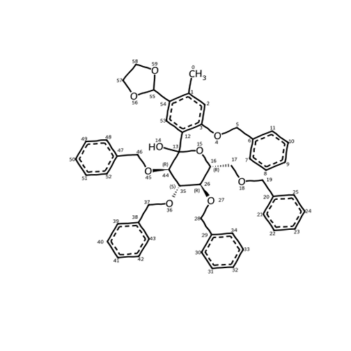 Cc1cc(OCc2ccccc2)c(C2(O)O[C@H](COCc3ccccc3)[C@@H](OCc3ccccc3)[C@H](OCc3ccccc3)[C@H]2OCc2ccccc2)cc1C1OCCO1